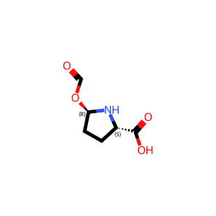 O=CO[C@@H]1CC[C@@H](C(=O)O)N1